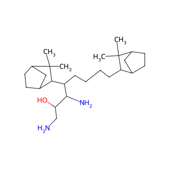 CC1(C)C2CCC(C2)C1CCCCC(C(N)C(O)CN)C1C2CCC(C2)C1(C)C